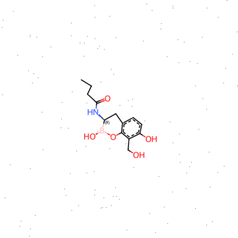 CCCC(=O)N[C@H]1Cc2ccc(O)c(CO)c2OB1O